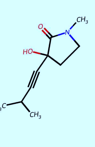 CC(C)C#CC1(O)CCN(C)C1=O